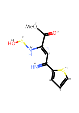 COC(=O)/C(=C/C(=N)c1cccs1)NSO